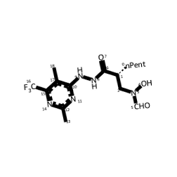 CCCCC[C@H](CN(O)C=O)C(=O)NNc1nc(C)nc(C(F)(F)F)c1C